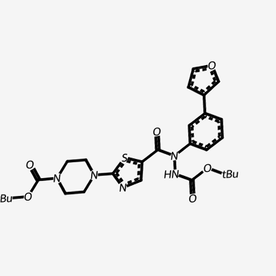 CC(C)(C)OC(=O)NN(C(=O)c1cnc(N2CCN(C(=O)OC(C)(C)C)CC2)s1)c1cccc(-c2ccoc2)c1